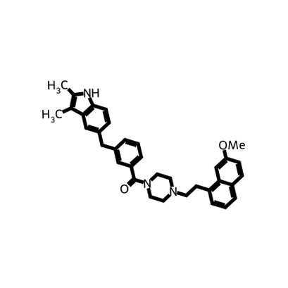 COc1ccc2cccc(CCN3CCN(C(=O)c4cccc(Cc5ccc6[nH]c(C)c(C)c6c5)c4)CC3)c2c1